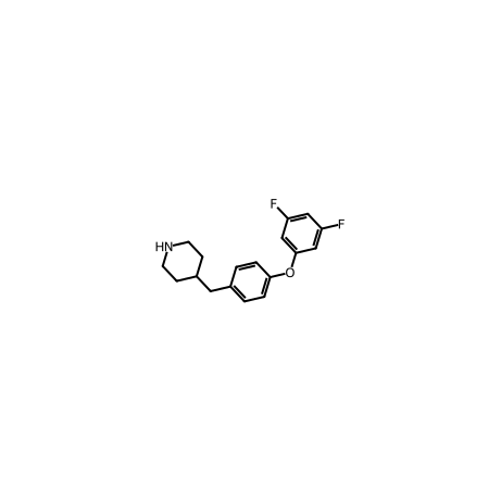 Fc1cc(F)cc(Oc2ccc(CC3CCNCC3)cc2)c1